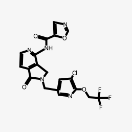 O=C(Nc1nccc2c1CN(Cc1cnc(OCC(F)(F)F)c(Cl)c1)C2=O)c1cnco1